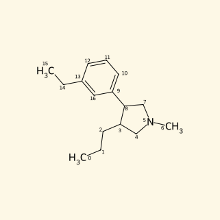 CCCC1CN(C)CC1c1cccc(CC)c1